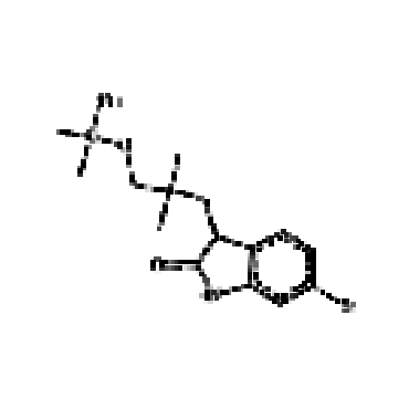 CC(C)(CO[Si](C)(C)C(C)(C)C)CC1C(=O)Nc2cc(Br)ccc21